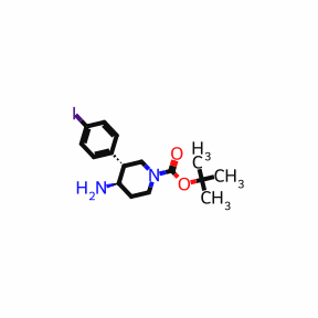 CC(C)(C)OC(=O)N1CC[C@@H](N)[C@H](c2ccc(I)cc2)C1